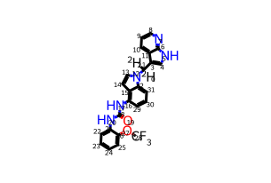 [2H]C([2H])(c1c[nH]c2ncccc12)n1ccc2c(NC(=O)Nc3ccccc3OC(F)(F)F)cccc21